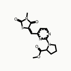 COC(=O)C1CCCN1c1nccc(C=C2SC(=O)N(C)C2=O)n1